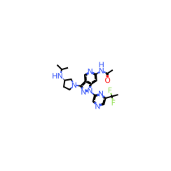 CC(=O)Nc1cc2c(cn1)c(N1CC[C@H](NC(C)C)C1)nn2-c1cncc(C(C)(F)F)n1